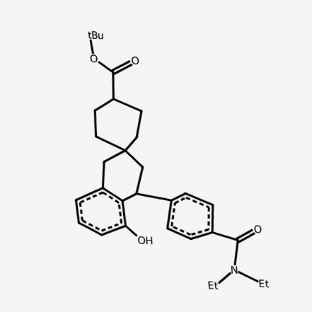 CCN(CC)C(=O)c1ccc(C2CC3(CCC(C(=O)OC(C)(C)C)CC3)Cc3cccc(O)c32)cc1